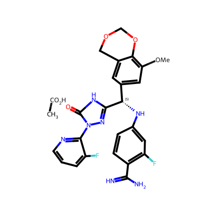 CC(=O)O.COc1cc([C@H](Nc2ccc(C(=N)N)c(F)c2)c2nn(-c3ncccc3F)c(=O)[nH]2)cc2c1OCOC2